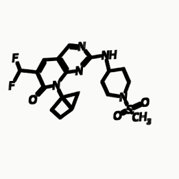 CS(=O)(=O)N1CCC(Nc2ncc3cc(C(F)F)c(=O)n(C45CCC4C5)c3n2)CC1